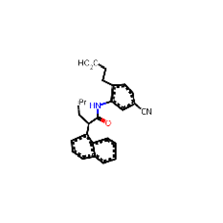 CC(C)CC(C(=O)Nc1cc(C#N)ccc1CCC(=O)O)c1cccc2ccccc12